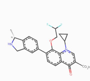 C[C@H]1NCc2cc(-c3ccc4c(=O)c(C(=O)O)cn(C5CC5)c4c3OCC(F)F)ccc21